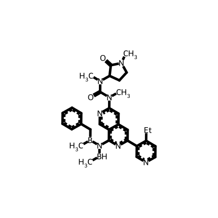 CBN(B(C)Cc1ccccc1)c1nc(-c2cnccc2CC)cc2cc(N(C)C(=O)N(C)C3CCN(C)C3=O)ncc12